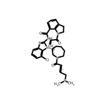 C=CC(=O)N1CCc2cccc(C(=O)Nc3nc4cccc(Cl)c4n3[C@@H]3CCCCN(C(=O)/C=C/CN(C)C)C3)c21